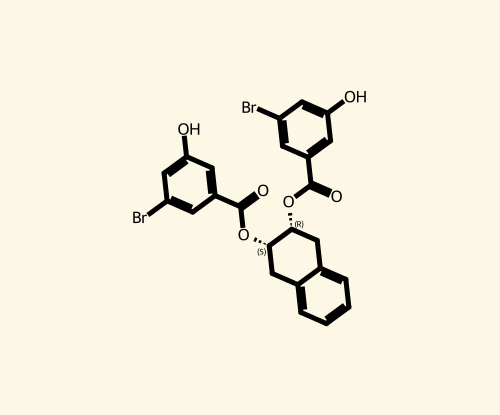 O=C(O[C@H]1Cc2ccccc2C[C@H]1OC(=O)c1cc(O)cc(Br)c1)c1cc(O)cc(Br)c1